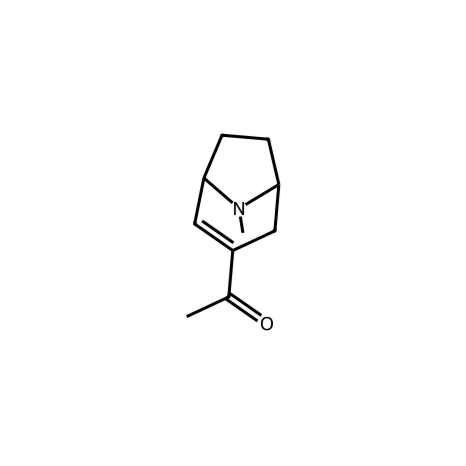 CC(=O)C1=CC2CCC(C1)N2C